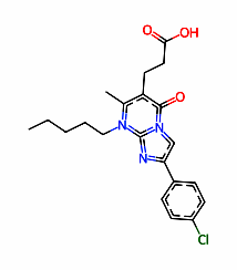 CCCCCn1c(C)c(CCC(=O)O)c(=O)n2cc(-c3ccc(Cl)cc3)nc12